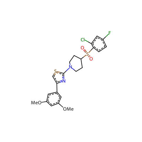 COc1cc(OC)cc(-c2csc(N3CCC(S(=O)(=O)c4ccc(F)cc4Cl)CC3)n2)c1